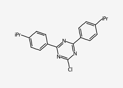 CC(C)c1ccc(-c2nc(Cl)nc(-c3ccc(C(C)C)cc3)n2)cc1